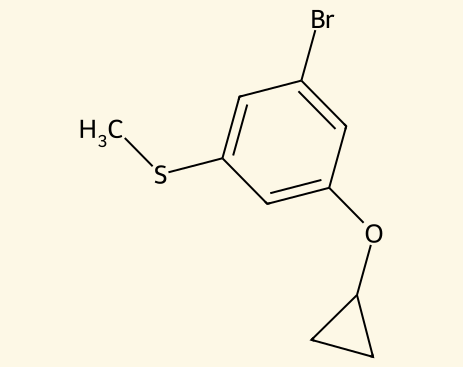 CSc1cc(Br)cc(OC2CC2)c1